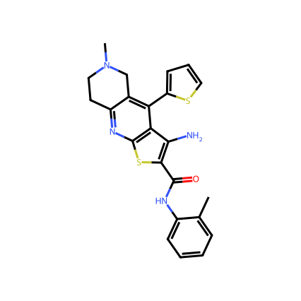 Cc1ccccc1NC(=O)c1sc2nc3c(c(-c4cccs4)c2c1N)CN(C)CC3